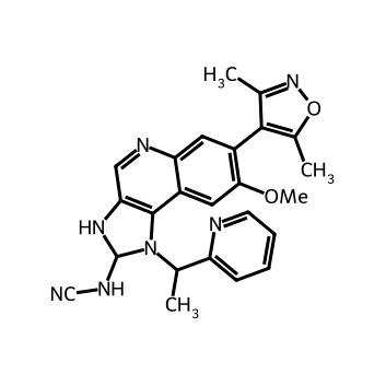 COc1cc2c3c(cnc2cc1-c1c(C)noc1C)NC(NC#N)N3C(C)c1ccccn1